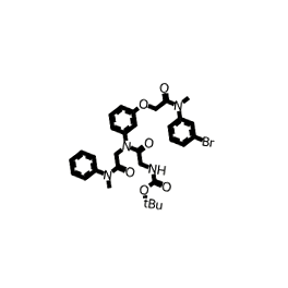 CN(C(=O)COc1cccc(N(CC(=O)N(C)c2ccccc2)C(=O)CNC(=O)OC(C)(C)C)c1)c1cccc(Br)c1